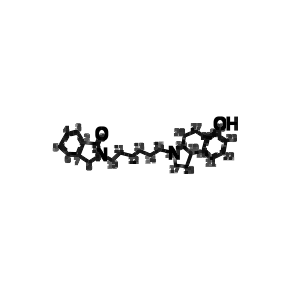 O=C1c2ccccc2CN1CCCCCCN1CCC2c3cccc(O)c3CCC21